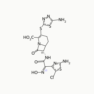 Nc1nnc(SC2=C(C(=O)O)N3C(=O)[C@@H](NC(=O)/C(=N\O)c4nc(N)sc4Cl)C3CC2)s1